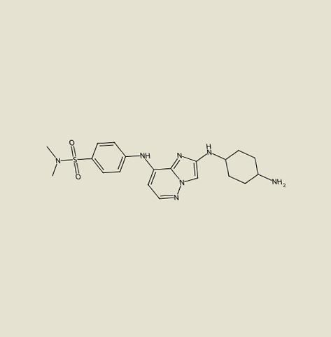 CN(C)S(=O)(=O)c1ccc(Nc2ccnn3cc(NC4CCC(N)CC4)nc23)cc1